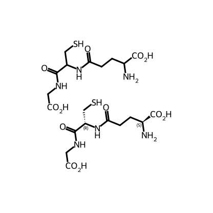 NC(CCC(=O)NC(CS)C(=O)NCC(=O)O)C(=O)O.N[C@@H](CCC(=O)N[C@@H](CS)C(=O)NCC(=O)O)C(=O)O